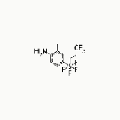 Cc1cc(S(F)(F)(F)(F)CCC(F)(F)F)ccc1N